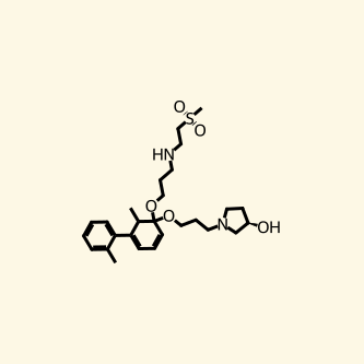 Cc1ccccc1C1=CC=CC(OCCCNCCS(C)(=O)=O)(OCCCN2CC[C@@H](O)C2)C1C